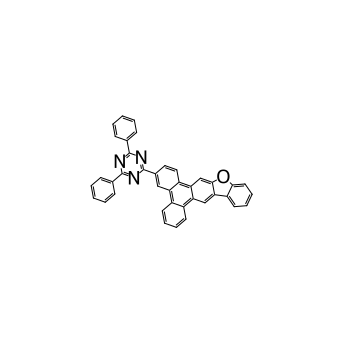 c1ccc(-c2nc(-c3ccccc3)nc(-c3ccc4c(c3)c3ccccc3c3cc5c(cc43)oc3ccccc35)n2)cc1